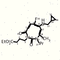 CCOC(=O)CCCn1c(=O)ccc(F)c(NCC2CC2)cc(C)n(C(C)C)c1=O